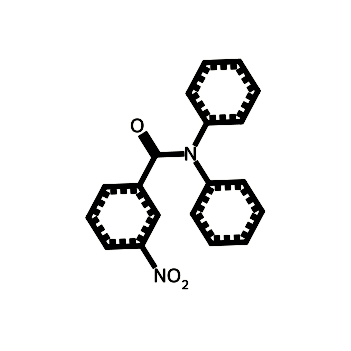 O=C(c1cccc([N+](=O)[O-])c1)N(c1ccccc1)c1ccccc1